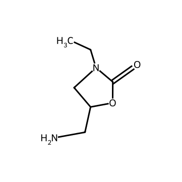 CCN1CC(CN)OC1=O